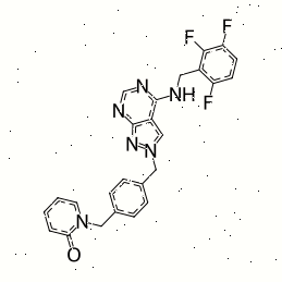 O=c1ccccn1Cc1ccc(Cn2cc3c(NCc4c(F)ccc(F)c4F)ncnc3n2)cc1